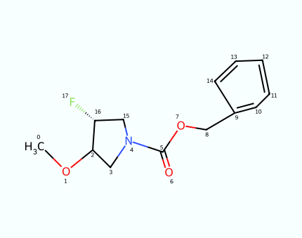 COC1CN(C(=O)OCc2ccccc2)C[C@H]1F